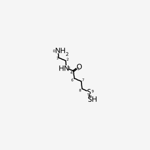 NCCNC(=O)CCCSS